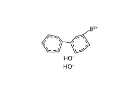 [B+2]c1cccc(-c2ccccc2)c1.[OH-].[OH-]